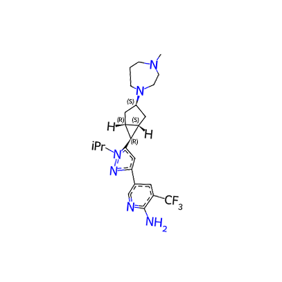 CC(C)n1nc(-c2cnc(N)c(C(F)(F)F)c2)cc1[C@H]1[C@@H]2C[C@@H](N3CCCN(C)CC3)C[C@@H]21